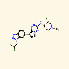 CN1CC[C@H](Nc2ncc3c(-c4ccc5nnn(CC(F)F)c5c4)ccn3n2)[C@H](F)C1